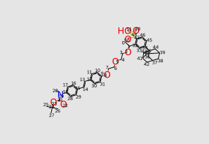 CC(OCCOCCOc1ccc(/C=C/c2ccc(N(C)C(=O)OC(C)(C)C)cc2)cc1)c1cc(C23CC4CC(CC(C4)C2)C3)ccc1S(=O)(=O)O